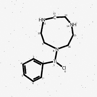 [Cl][Ti]([c]1ccccc1)[N]1CCNCCNCC1